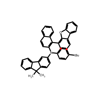 CC(C)(C)c1ccc(N(c2ccc3c(c2)-c2ccccc2C3(C)C)c2ccc3ccccc3c2-c2cccc3c2oc2ccccc23)cc1